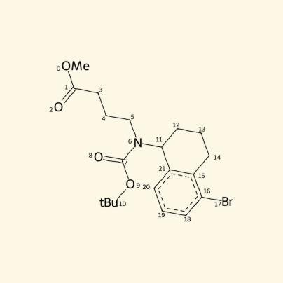 COC(=O)CCCN(C(=O)OC(C)(C)C)C1CCCc2c(Br)cccc21